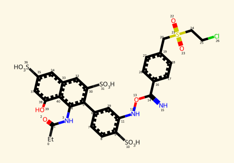 CCC(=O)Nc1c(-c2ccc(S(=O)(=O)O)c(NOC(=N)c3ccc(CS(=O)(=O)CCCl)cc3)c2)c(S(=O)(=O)O)cc2cc(S(=O)(=O)O)cc(O)c12